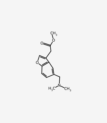 COC(=O)Cc1coc2ccc(CN(C)C)cc12